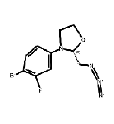 [N-]=[N+]=NC[C@H]1OCCN1c1ccc(Br)c(F)c1